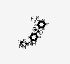 O=S(=O)(c1ccc(Nc2nncs2)cc1)c1cccc(C(F)(F)F)c1